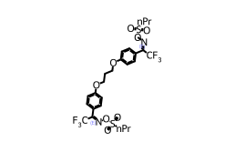 CCCS(=O)(=O)O/N=C(\c1ccc(OCCCOc2ccc(/C(=N\OS(=O)(=O)CCC)C(F)(F)F)cc2)cc1)C(F)(F)F